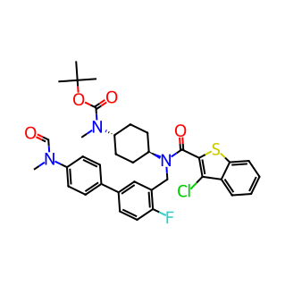 CN(C=O)c1ccc(-c2ccc(F)c(CN(C(=O)c3sc4ccccc4c3Cl)[C@H]3CC[C@H](N(C)C(=O)OC(C)(C)C)CC3)c2)cc1